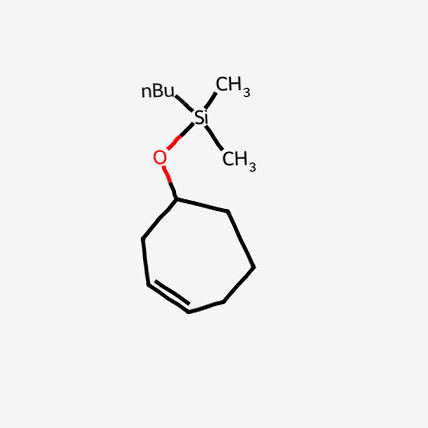 CCCC[Si](C)(C)OC1CC=CCCC1